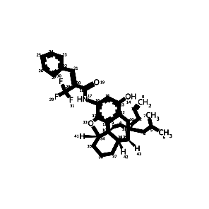 C=CC[N+]1(CC(C)C)CC[C@]23c4c5c(O)cc(NC(=O)C(=Cc6ccccc6)C(F)(F)F)c4O[C@H]2CCC[C@H]3[C@H]1C5